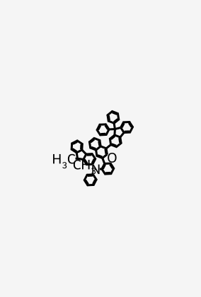 CC1(C)c2ccccc2-c2ccc(N(c3ccccc3)c3cccc4oc5c(-c6ccc7c(c6)C(c6ccccc6)(c6ccccc6)c6ccccc6-7)c6ccccc6cc5c34)cc21